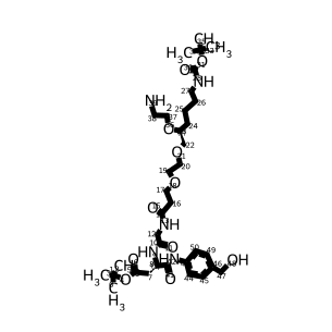 CC(C)(C)OC(=O)C[C@H](NC(=O)CNC(=O)CCOCCOC[C@H](CCCCNC(=O)OC(C)(C)C)OCCN)C(=O)Nc1ccc(CO)cc1